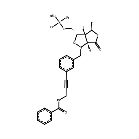 CCCC[Si](OC[C@H]1ON(Cc2cccc(C#CCNC(=O)c3ccccc3)c2)[C@H]2C(=O)O[C@H](C)[C@@H]12)(C(C)C)C(C)C